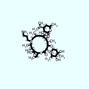 CCC1OC(=O)[C@H](C)C(O[C@@H]2C[C@@](C)(O)[C@H](O)C(C)O2)[C@@H](C)[C@H](O[C@@H]2OC(C)C[C@H](N(C)C)[C@@H]2O)C(C)(O)C[C@H](C)CN(CCCN)[C@H](C)[C@@H](O)C1(C)O